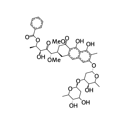 CO[C@@H]1C(=O)c2c(cc3cc(O[C@H]4CC(O[C@H]5CC(O)[C@H](O)C(C)O5)[C@H](O)C(C)O4)c(C)c(O)c3c2O)C[C@H]1[C@H](OC)C(=O)[C@@H](O)[C@@H](C)OC(=O)c1ccccc1